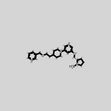 BN1CCC[C@H]1COc1cncc(N2CCC(CCOCc3cccnc3)CC2)c1